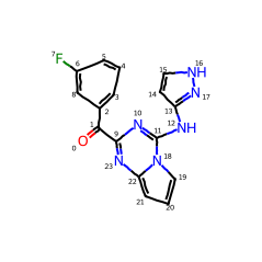 O=C(c1cccc(F)c1)c1nc(Nc2cc[nH]n2)n2cccc2n1